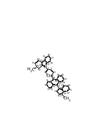 C/C=C(\C=C/Cc1c2ccccc2c(-c2ccc(C)c3ccccc23)c2ccccc12)n1c2c(c3ccccc31)C=C[C@H](C)C2